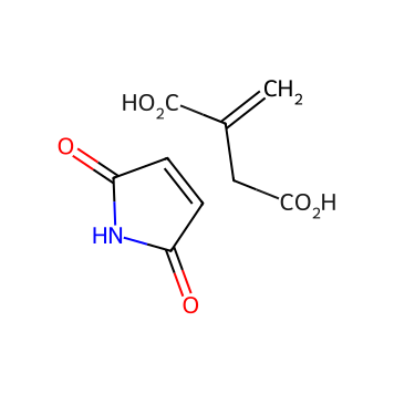 C=C(CC(=O)O)C(=O)O.O=C1C=CC(=O)N1